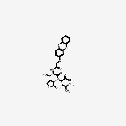 CC(C)C[C@@H](C(N)=O)N(C(=O)[C@H](CO)NC(=O)COc1ccc2c(c1)Nc1ccccc1S2)[C@H]1CCOC1O